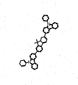 CC1(C)c2cc(-c3ccc4c(c3)c3ccccc3n4C3=CCCC=C3)ccc2C2=CC=C(c3ccc4c(c3)c3ccccc3n4-c3ccccc3)CC21